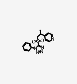 CC(CS(=O)(=O)c1nnnn1-c1ccccc1)c1ccncc1